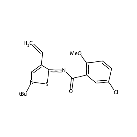 C=Cc1cn(C(C)(C)C)sc1=NC(=O)c1cc(Cl)ccc1OC